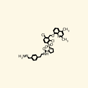 Cc1cc(C)c2cccc(OCc3c(Cl)ccc(S(=O)(=O)N4CCC[C@H]4C(=O)NCCc4ccc(C=NN)cc4)c3Cl)c2n1